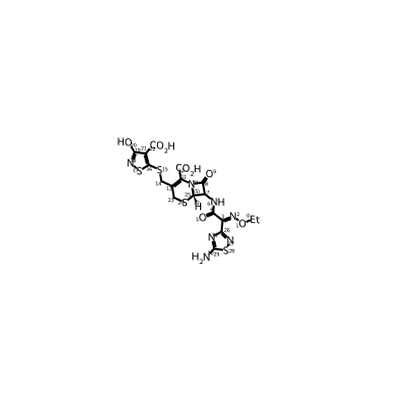 CCON=C(C(=O)NC1C(=O)N2C(C(=O)O)=C(CSc3snc(O)c3C(=O)O)CS[C@@H]12)c1nsc(N)n1